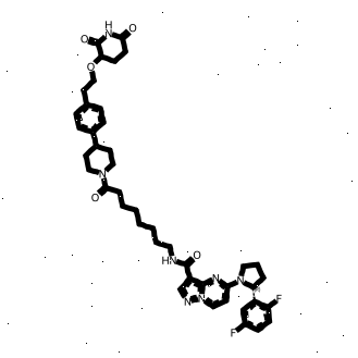 O=C1CCC(OCCc2ccc(C3CCN(C(=O)CCCCCCCNC(=O)c4cnn5ccc(N6CCC[C@@H]6c6cc(F)ccc6F)nc45)CC3)cc2)C(=O)N1